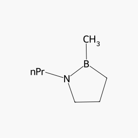 CCCN1CCCB1C